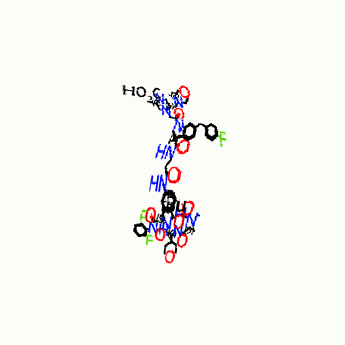 C[C@@H]1COCCN1C[C@H]1CN(C(=O)O)[C@H](C)CN1CC(=O)N1C[C@@](C)(C(=O)NCCC(=O)Nc2ccc3c(c2)[C@@H](C(=O)Nc2c(F)cccc2F)N(C(=O)[C@@H](NC(=O)[C@H](C)N(C)C(=O)OC(C)(C)C)C2CCOCC2)C3)c2ccc(Cc3ccc(F)cc3)cc21